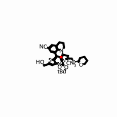 CC(C)(C)OC(=O)N1C[C@@H](N2CCCc3cc(C#N)cc(-c4ccnc5cc(CO)sc45)c32)C[C@@]1(C)CO[C@H]1CCCCO1